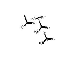 CCCCCCC[CH2][Mo+3].NC(=S)[S-].NC(=S)[S-].NC(=S)[S-]